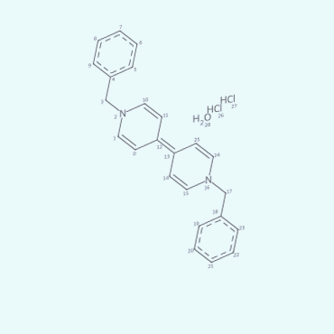 C1=CN(Cc2ccccc2)C=CC1=C1C=CN(Cc2ccccc2)C=C1.Cl.Cl.O